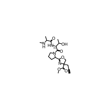 C#CC[C@]1(C(=O)OC)COC(C2CCCN2C(=O)[C@@H](NC(=O)C(C)NC)C(C)O)=N1